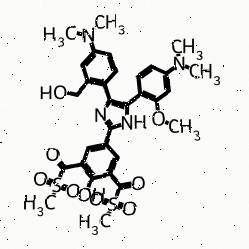 COc1cc(N(C)C)ccc1-c1[nH]c(-c2cc(C(=O)S(C)(=O)=O)c(O)c(C(=O)S(C)(=O)=O)c2)nc1-c1ccc(N(C)C)cc1CO